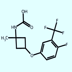 CC1(NC(=O)O)CC(Oc2ccc(F)c(C(F)(F)F)c2)C1